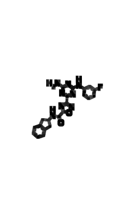 Nc1nc(Nc2cccc(F)c2)nc(-c2noc(C(=O)NC3Cc4ccccc4C3)n2)n1